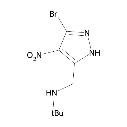 CC(C)(C)NCc1[nH]nc(Br)c1[N+](=O)[O-]